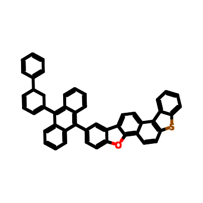 C1=CC(c2ccccc2)CC(c2c3ccccc3c(-c3ccc4oc5c(ccc6c5ccc5sc7ccccc7c56)c4c3)c3ccccc23)=C1